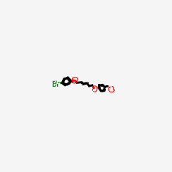 O=Cc1ccc(OCCCCCCOc2ccc(Br)cc2)cc1